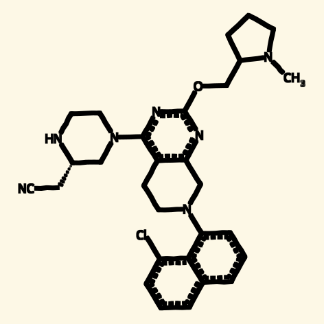 CN1CCCC1COc1nc2c(c(N3CCN[C@@H](CC#N)C3)n1)CCN(c1cccc3cccc(Cl)c13)C2